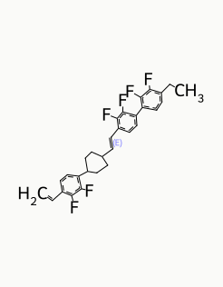 C=Cc1ccc(C2CCC(/C=C/c3ccc(-c4ccc(CC)c(F)c4F)c(F)c3F)CC2)c(F)c1F